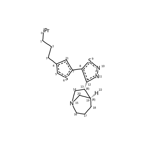 CC(C)CCCc1csc(-c2snnc2[C@H]2CN3CCC[C@H]2C3)c1